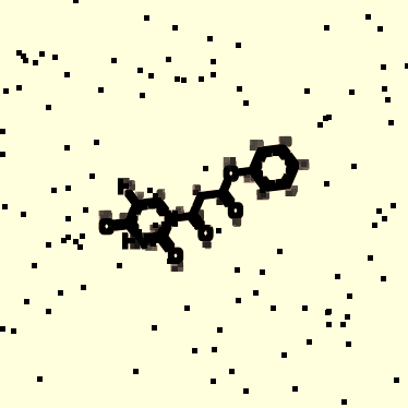 O=C(CC(=O)n1cc(F)c(=O)[nH]c1=O)Oc1ccccc1